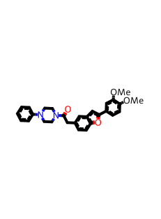 COc1ccc(-c2cc3cc(CC(=O)N4CCN(c5ccccc5)CC4)ccc3o2)cc1OC